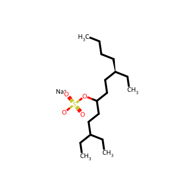 CCCC[C@@H](CC)CCC(CCC(CC)CC)OS(=O)(=O)[O-].[Na+]